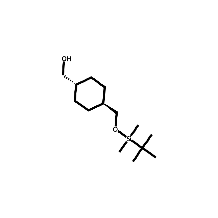 CC(C)(C)[Si](C)(C)OC[C@H]1CC[C@H](CO)CC1